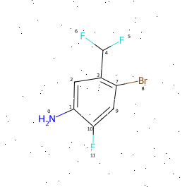 Nc1cc(C(F)F)c(Br)cc1F